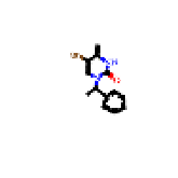 C=C1NC(=O)N(C(C)c2ccccc2)C=C1Br